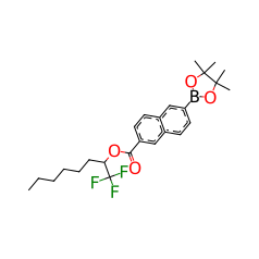 CCCCCCC(OC(=O)c1ccc2cc(B3OC(C)(C)C(C)(C)O3)ccc2c1)C(F)(F)F